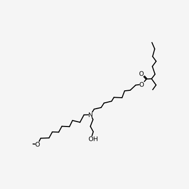 CCCCCCC(CC)C(=O)OCCCCCCCCCN(CCCO)CCCCCCCCCOC